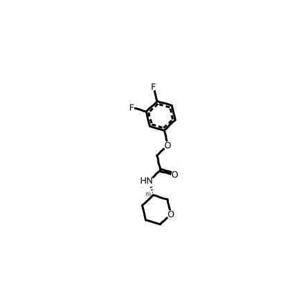 O=C(COc1ccc(F)c(F)c1)N[C@H]1CCCOC1